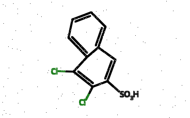 O=S(=O)(O)c1cc2ccccc2c(Cl)c1Cl